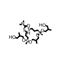 CC(CO)CO[Si](C)(CCCS)OCC(C)CO[Si](C)(CCCSC(=O)N(C)C)OCC(C)CO